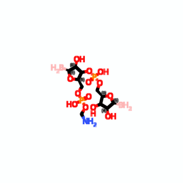 B[C@@H]1O[C@H](COP(=O)(O)OC2[C@@H](COP(=O)(O)OCN)O[C@@H](B)[C@H]2O)C(O)[C@@H]1O